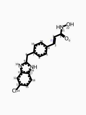 O=C(/C=C/c1ccc(Cc2nc3cc(Cl)ccc3[nH]2)cc1)NO